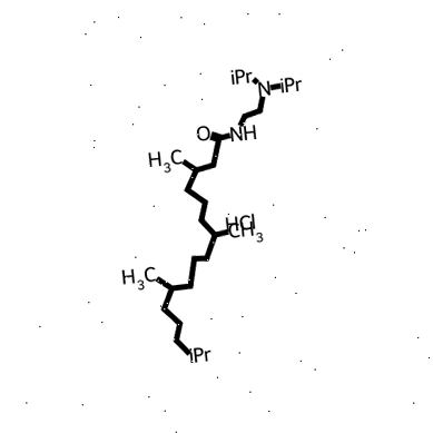 CC(C)CCCC(C)CCCC(C)CCCC(C)CC(=O)NCCN(C(C)C)C(C)C.Cl